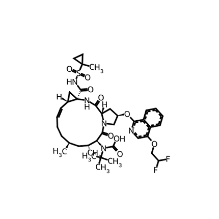 C[C@H]1CC/C=C\[C@@H]2C[C@@]2(C(=O)NS(=O)(=O)C2(C)CC2)NC(=O)[C@@H]2C[C@@H](Oc3ncc(OCC(F)F)c4ccccc34)CN2C(=O)[C@@H](N(C(=O)O)C(C)(C)C)[C@H](C)C1